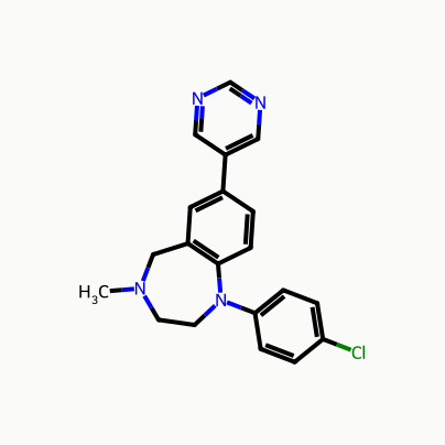 CN1CCN(c2ccc(Cl)cc2)c2ccc(-c3cncnc3)cc2C1